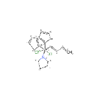 C=CC=[CH][Zr]([Cl])([Cl])([C]1=CC=CC1)([C]1=CC=CC1)[N]1CCCC1